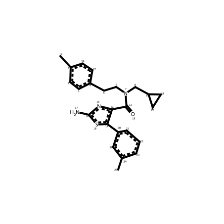 Cc1ccc(CCN(CC2CC2)C(=O)c2nc(N)sc2-c2cccc(C)c2)cc1